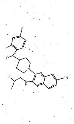 N#Cc1ccc2nc(NCC(F)F)c(N3CCC(C(F)c4ccc(F)cc4F)CC3)nc2c1